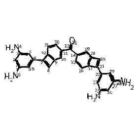 Nc1cc(N)cc(C2=Cc3cc(C(=O)c4ccc5c(c4)C=C5c4cc(N)cc(N)c4)ccc32)c1